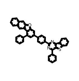 c1ccc(-c2nc(-c3ccc(-c4cc(-c5ccccc5)c5c(c4)oc4cc6ccccc6cc45)cc3)nc3c2sc2ccccc23)cc1